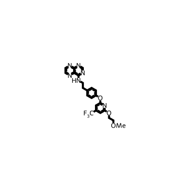 COCCOc1cc(C(F)(F)F)cc(Oc2ccc(CCNc3ncnc4nccnc34)cc2)n1